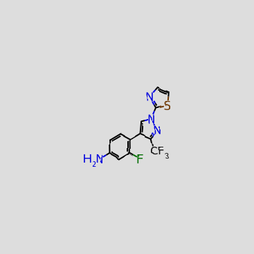 Nc1ccc(-c2cn(-c3nccs3)nc2C(F)(F)F)c(F)c1